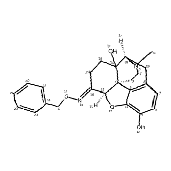 CN1CC[C@]23c4c5ccc(O)c4O[C@H]2C(=NOCc2ccccc2)CCC3(O)[C@H]1C5